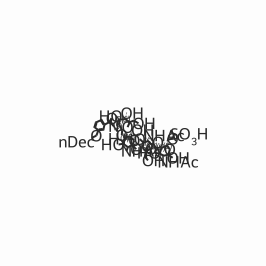 CCCCCCCCCCCOc1cccc(C(=O)N[C@@H]2C(O[C@H]3C(O)C(NC(C)=O)C(O[C@@H]4C(CO)O[C@@H](O[C@H]5C(O)C(NC(C)=O)C(O)O[C@H]5COS(=O)(=O)O)[C@@H](NC(C)=O)C4O)O[C@H]3CO)OC(CO)[C@@H](O)[C@@H]2O)c1